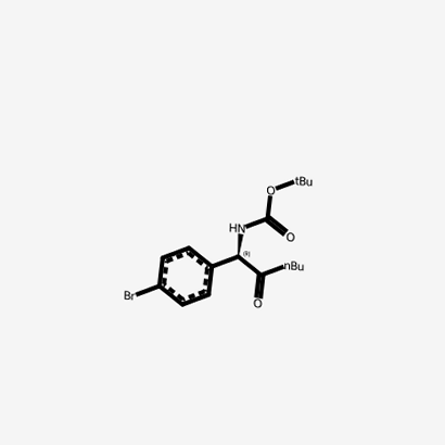 CCCCC(=O)[C@H](NC(=O)OC(C)(C)C)c1ccc(Br)cc1